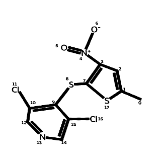 Cc1cc([N+](=O)[O-])c(Sc2c(Cl)cncc2Cl)s1